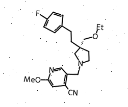 CCOC[C@]1(CCc2ccc(F)cc2)CCN(Cc2cnc(OC)cc2C#N)C1